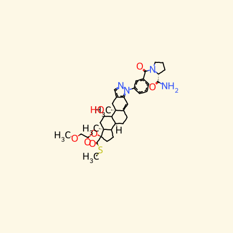 COCC(=O)O[C@]1(C(=O)SC)CCC2[C@@H]3CCC4=Cc5c(cnn5-c5cccc(C(=O)N6CCC[C@@H]6C(N)=O)c5)C[C@]4(C)C3[C@@H](O)C[C@@]21C